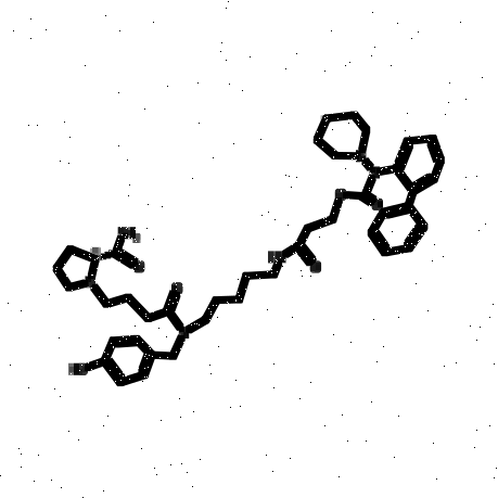 NC(=O)[C@H]1CCCN1CCCC(=O)N(CCCCCNC(=O)CCOC(=O)N(c1ccccc1-c1ccccc1)N1CC[CH]CC1)Cc1ccc(O)cc1